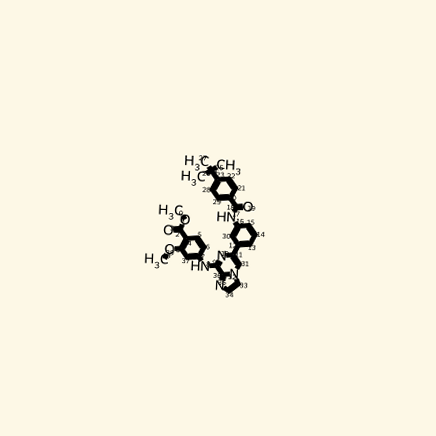 COC(=O)c1ccc(Nc2nc(-c3cccc(NC(=O)c4ccc(C(C)(C)C)cc4)c3)cn3ccnc23)cc1OC